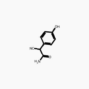 N#CC(C(N)=O)c1ccc(O)cc1